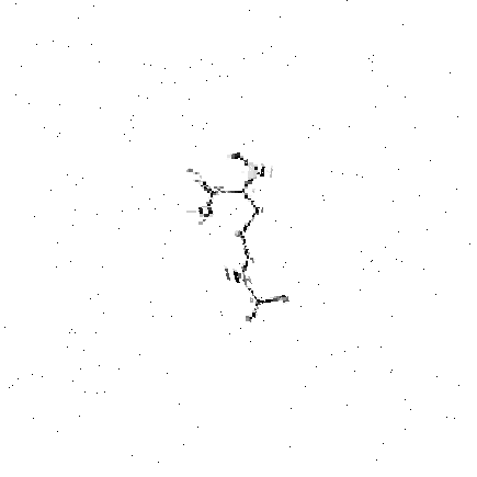 CNC(CCCNC(C)C)C(=O)O